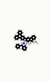 CC1(C)c2ccccc2-c2cc3c4cc5c6ccccc6c6ccccc6c5cc4n(-c4nc(-c5ccccc5)c5ccccc5n4)c3cc21